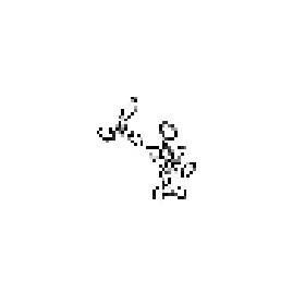 c1ccc(N(c2ccccc2)c2ccc(-c3ccc4c(c3)N(c3ccccc3)c3cccc5c3B4c3ccc(-n4c6ccccc6c6ccccc64)cc3N5c3ccccc3)cc2)cc1